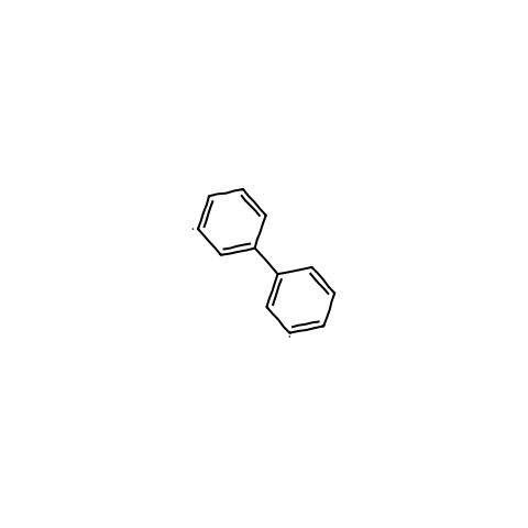 [c]1cccc(-c2c[c]ccc2)c1